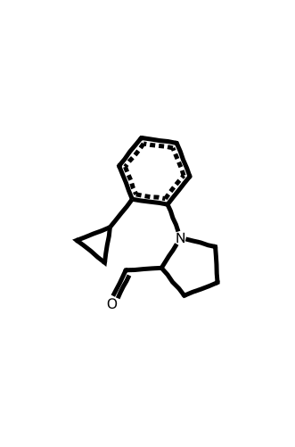 O=CC1CCCN1c1ccccc1C1CC1